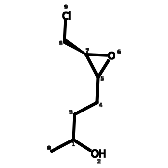 CC(O)CCC1O[C@@H]1CCl